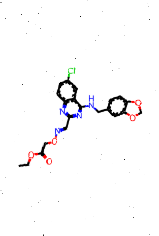 CCOC(=O)CON=Cc1nc(NCc2ccc3c(c2)OCO3)c2cc(Cl)ccc2n1